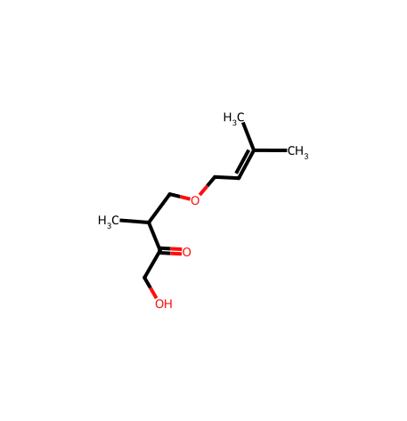 CC(C)=CCOCC(C)C(=O)CO